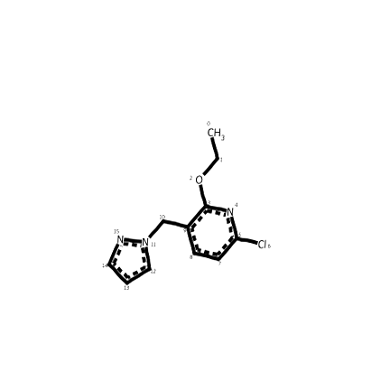 CCOc1nc(Cl)ccc1Cn1cccn1